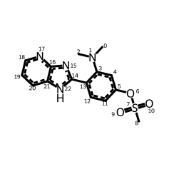 CN(C)c1cc(OS(C)(=O)=O)ccc1-c1nc2ncccc2[nH]1